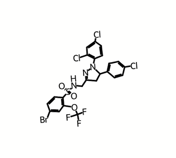 O=S(=O)(NCC1=NN(c2ccc(Cl)cc2Cl)C(c2ccc(Cl)cc2)C1)c1ccc(Br)cc1OC(F)(F)F